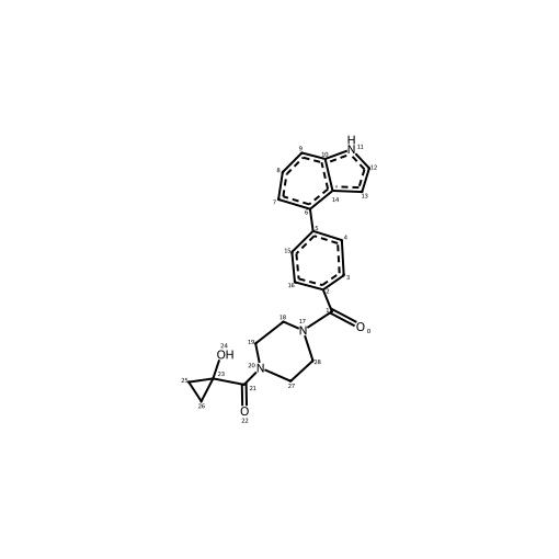 O=C(c1ccc(-c2cccc3[nH]ccc23)cc1)N1CCN(C(=O)C2(O)CC2)CC1